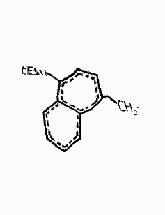 [CH2]c1ccc(C(C)(C)C)c2ccccc12